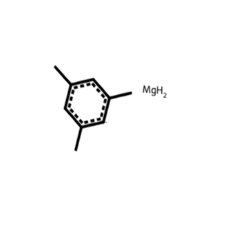 Cc1[c]c(C)cc(C)c1.[MgH2]